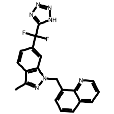 Cc1nn(Cc2cccc3cccnc23)c2cc(C(F)(F)c3nnn[nH]3)ccc12